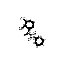 CN(c1cccc(Cl)c1Cl)S(=O)(=O)c1ccccn1